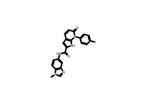 Cn1cnc2cc(NC(=O)c3cc4ccc(=O)n(-c5ccc(F)cc5)c4[nH]3)ccc21